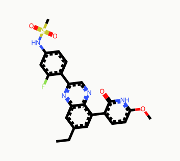 CCc1cc(-c2ccc(OC)[nH]c2=O)c2ncc(-c3ccc(NS(C)(=O)=O)cc3F)nc2c1